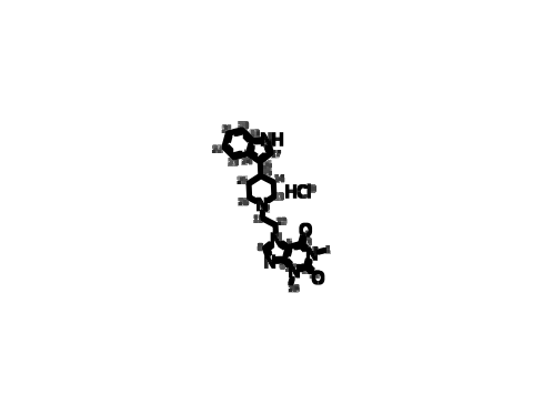 Cl.Cn1c(=O)c2c(ncn2CCN2CCC(c3c[nH]c4ccccc34)CC2)n(C)c1=O